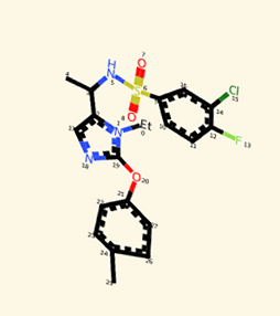 CCn1c(C(C)NS(=O)(=O)c2ccc(F)c(Cl)c2)cnc1Oc1ccc(C)cc1